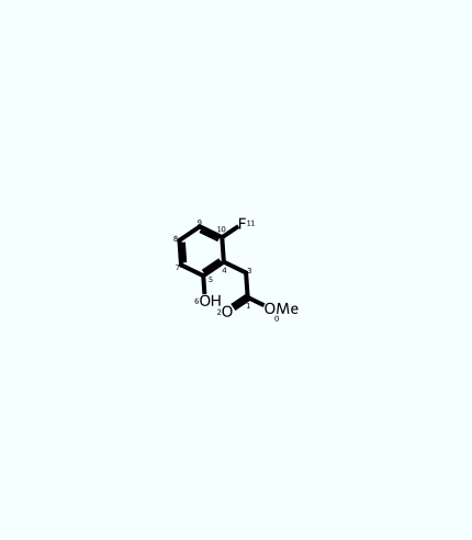 COC(=O)Cc1c(O)cccc1F